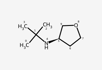 CC(C)(C)N[C@@H]1CCOC1